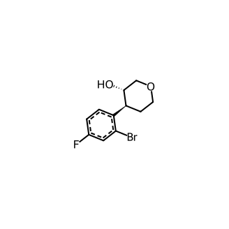 O[C@@H]1COCC[C@H]1c1ccc(F)cc1Br